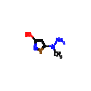 CN(N)c1cc(O)ns1